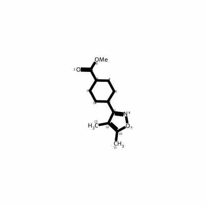 COC(=O)C1CCC(c2noc(C)c2C)CC1